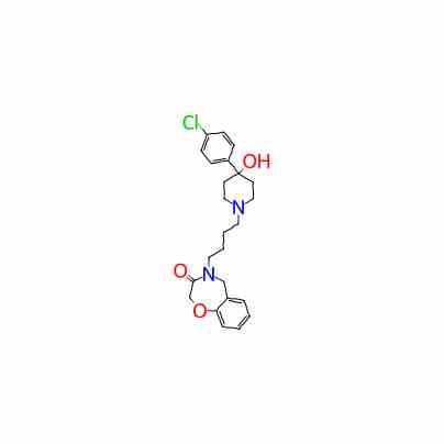 O=C1COc2ccccc2CN1CCCCN1CCC(O)(c2ccc(Cl)cc2)CC1